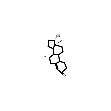 C[C@H]1CC2=CC(=O)CCC2C2CC[C@@]3(C)C(CC[C@@H]3C#N)C21